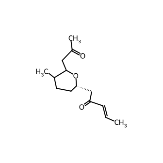 C/C=C/C(=O)C[C@@H]1CCC(C)C(CC(C)=O)O1